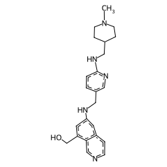 CN1CCC(CNc2ccc(CNc3cc(CO)c4cnccc4c3)cn2)CC1